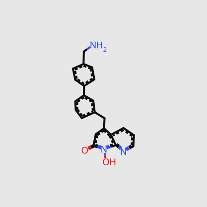 NCc1ccc(-c2cccc(Cc3cc(=O)n(O)c4ncccc34)c2)cc1